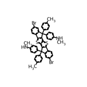 CNc1ccc(C2(c3ccc(C)cc3)c3cc(Br)ccc3-c3sc4c5c(sc4c32)-c2ccc(Br)cc2C5(c2ccc(C)cc2)c2ccc(NC)cc2)cc1